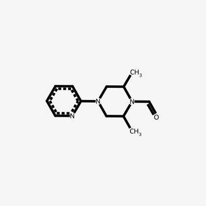 CC1CN(c2ccccn2)CC(C)N1C=O